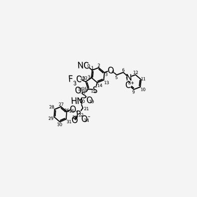 N#Cc1cc(OCCN2[C+]=CC=CC2)cc2sc(S(=O)(=O)NCP(=O)([O-])Oc3ccccc3)c(C(F)(F)F)c12